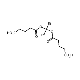 CCC(CC)(OC(=O)CCCC(=O)O)OC(=O)CCCC(=O)O